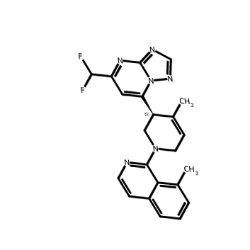 CC1=CCN(c2nccc3cccc(C)c23)C[C@H]1c1cc(C(F)F)nc2ncnn12